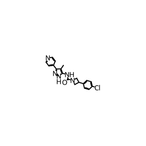 Cc1c(-c2ccncc2)n[nH]c1NC(=O)N1CC(c2ccc(Cl)cc2)C1